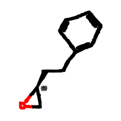 [CH](Cc1ccccc1)[C@H]1CO1